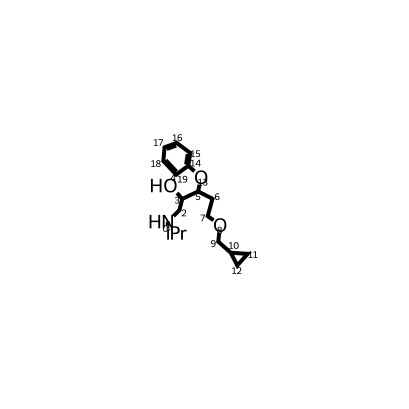 CC(C)NCC(O)C(CCOCC1CC1)Oc1ccccc1